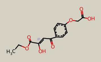 CCOC(=O)/C(O)=C/C(=O)c1ccc(OCC(=O)O)cc1